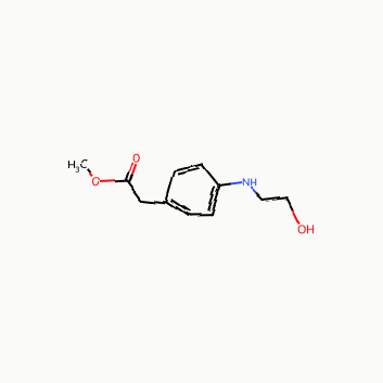 COC(=O)Cc1ccc(NCCO)cc1